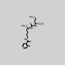 Cc1cnccc1C(=O)NCCCC[C@H](NC(=O)N[C@@H](CCC(=O)O)C(=O)O)C(=O)O